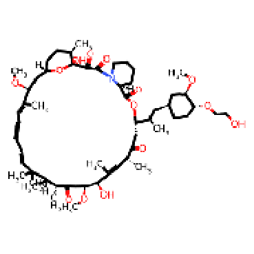 [2H]C1(C)[C@@H](C)C(=O)[C@H](OC)[C@H](O)/C(C)=C/[C@@H](C)C(=O)C[C@@H]([C@H](C)C[C@@H]2CC[C@@H](OCCO)[C@H](OC)C2)OC(=O)[C@@H]2CCCCN2C(=O)C(=O)[C@]2(O)O[C@@H](CC[C@H]2C)C[C@H](OC)/C(C)=C/C=C/C=C/C1(C)C